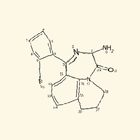 NC1N=C(c2ccccc2F)c2cccc3c2N(CCC3)C1=O